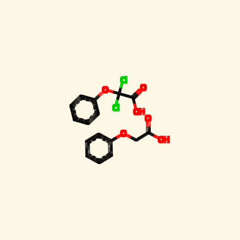 O=C(O)C(Cl)(Cl)Oc1ccccc1.O=C(O)COc1ccccc1